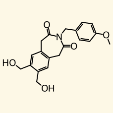 COc1ccc(CN2C(=O)Cc3cc(CO)c(CO)cc3CC2=O)cc1